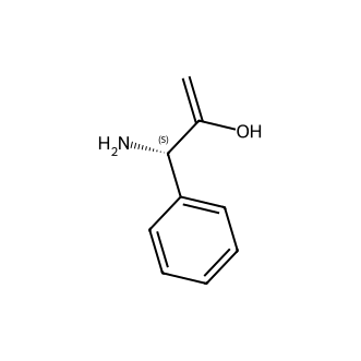 C=C(O)[C@@H](N)c1ccccc1